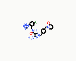 Nc1nn(Cc2ccc(Cn3ccccc3=O)cc2)cc1C(=O)NCc1cc(Cl)ccc1-n1cnnn1